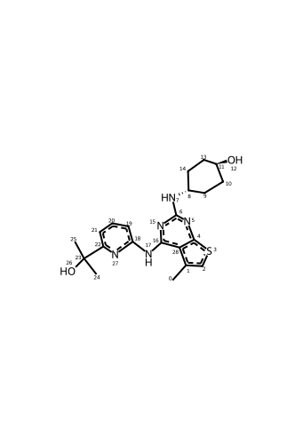 Cc1csc2nc(N[C@H]3CC[C@H](O)CC3)nc(Nc3cccc(C(C)(C)O)n3)c12